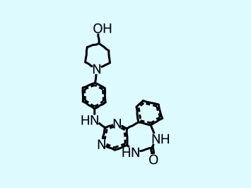 O=C1Nc2ccccc2-c2nc(Nc3ccc(N4CCC(O)CC4)cc3)ncc2N1